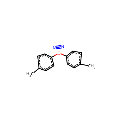 Cc1ccc(Oc2ccc(C)cc2)cc1.N#N